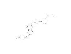 COC(=O)C1CCCC(C2CN(Cc3ccc4cc(O[C@H]5CC[C@@H](C(C)C)CC5)ccc4c3)C2)C1